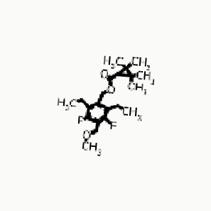 CCc1c(F)c(COC)c(F)c(CC)c1COC(=O)C1C(C)(C)C1(C)C